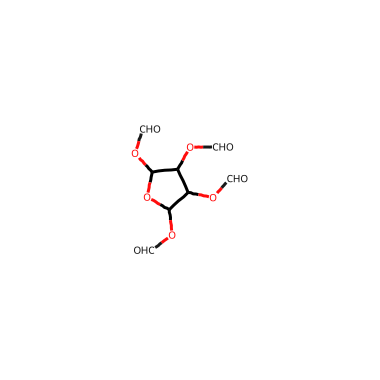 O=COC1OC(OC=O)C(OC=O)C1OC=O